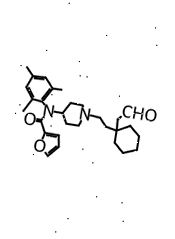 Cc1cc(C)c(N(C(=O)c2ccco2)C2CCN(CCC3(CC=O)CCCCC3)CC2)c(C)c1